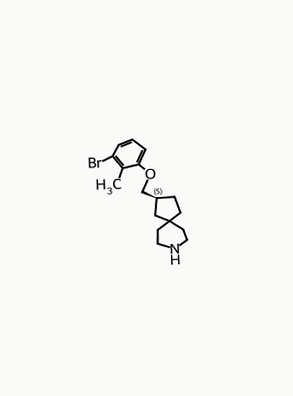 Cc1c(Br)cccc1OC[C@H]1CCC2(CCNCC2)C1